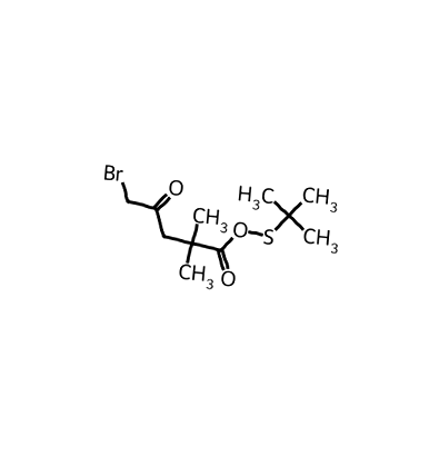 CC(C)(C)SOC(=O)C(C)(C)CC(=O)CBr